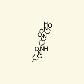 Cc1ccc2c(c1)CCN2C(=O)Nc1ccc2c(c1)CN(C1CCC(=O)NC1=O)C2=O